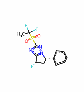 CC(F)(F)S(=O)(=O)c1nc2n(n1)[C@H](c1ccccc1)C[C@@H]2F